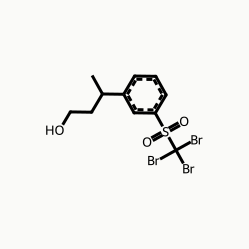 CC(CCO)c1cccc(S(=O)(=O)C(Br)(Br)Br)c1